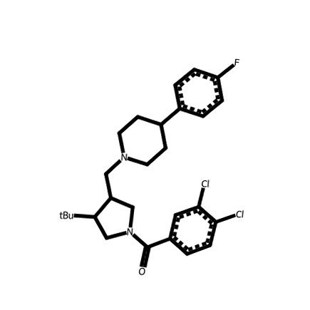 CC(C)(C)C1CN(C(=O)c2ccc(Cl)c(Cl)c2)CC1CN1CCC(c2ccc(F)cc2)CC1